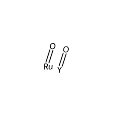 [O]=[Ru].[O]=[Y]